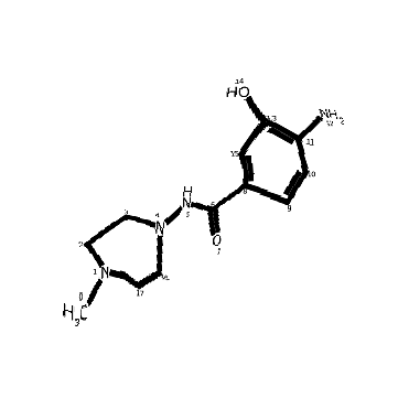 CN1CCN(NC(=O)c2ccc(N)c(O)c2)CC1